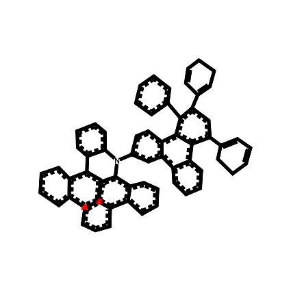 C1=CCCC(c2cc(C3=CCCC=C3)c(-c3ccccc3)c3c4ccc(N(c5ccccc5-c5cccc6ccccc56)c5cc6ccccc6c6ccccc56)cc4c4ccccc4c23)=C1